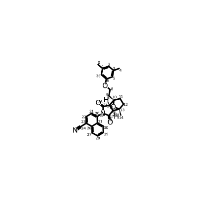 Cc1cc(C)cc(OCC[C@@]23CC[C@@](C)(O2)[C@H]2C(=O)N(c4ccc(C#N)c5ccccc45)C(=O)[C@H]23)c1